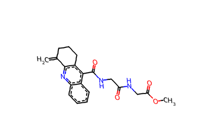 C=C1CCCc2c1nc1ccccc1c2C(=O)NCC(=O)NCC(=O)OC